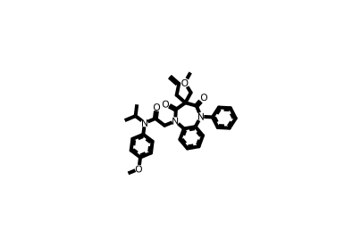 C=CCC1(COC)C(=O)N(CC(=O)N(c2ccc(OC)cc2)C(C)C)c2ccccc2N(c2ccccc2)C1=O